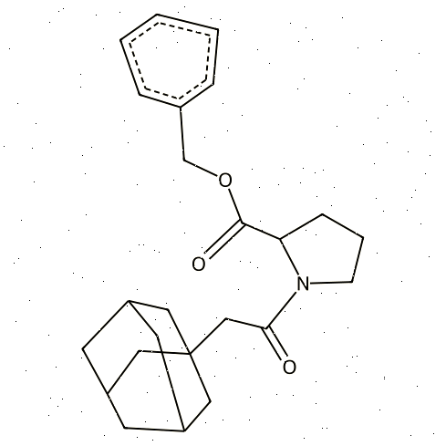 O=C(OCc1ccccc1)C1CCCN1C(=O)CC12CC3CC(CC(C3)C1)C2